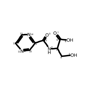 O=C(NC(CO)C(=O)O)c1cnccn1